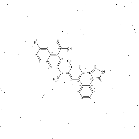 CCc1nc2ccc(Br)cc2c(C(=O)O)c1Oc1ccc(-c2ccccc2-c2nn[nH]n2)cc1